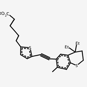 CCOC(=O)CCCCc1ccc(C#Cc2cc3c(cc2C)SCCC3(CC)CC)s1